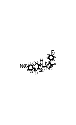 Cc1cnc(C(=O)NC2COc3cc(C#N)ccc3N(C)C2=O)nc1-c1ccc(F)cc1